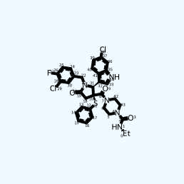 CCNC(=O)N1CCN(C(=O)[C@]2(Sc3ccccc3)CC(=O)N(Cc3ccc(F)c(Cl)c3)[C@H]2c2c[nH]c3cc(Cl)ccc23)CC1